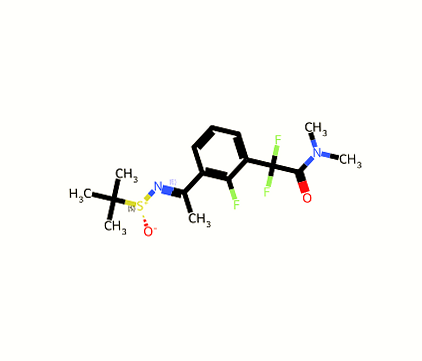 C/C(=N\[S@+]([O-])C(C)(C)C)c1cccc(C(F)(F)C(=O)N(C)C)c1F